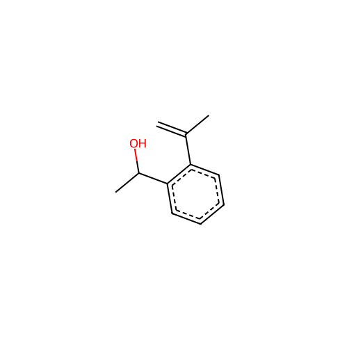 C=C(C)c1ccccc1C(C)O